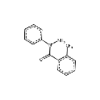 NN(C(=O)c1ccccc1C(F)(F)F)c1ccccc1